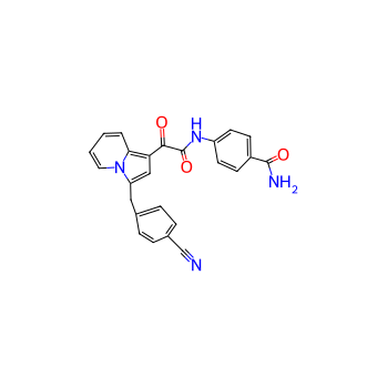 N#Cc1ccc(Cc2cc(C(=O)C(=O)Nc3ccc(C(N)=O)cc3)c3ccccn23)cc1